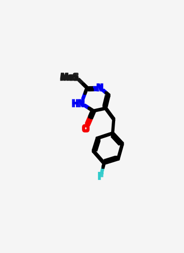 CSc1ncc(Cc2ccc(F)cc2)c(=O)[nH]1